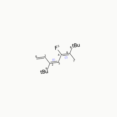 C=C/C(=C\C(F)=C(/C)C(C)(C)C)C(C)(C)C